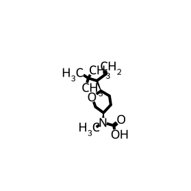 C=CC([C@H]1CC[C@@H](N(C)C(=O)O)CO1)C(C)(C)C